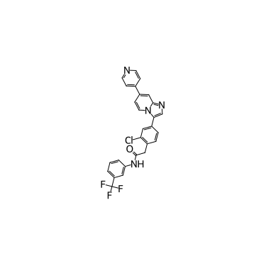 O=C(Cc1ccc(-c2cnc3cc(-c4ccncc4)ccn23)cc1Cl)Nc1cccc(C(F)(F)F)c1